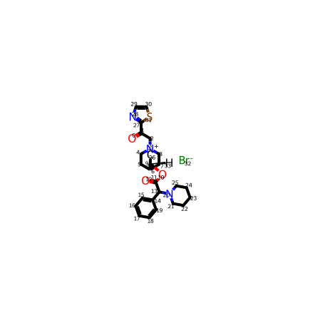 O=C(C[N+]12CCC(CC1)[C@@H](OC(=O)C(c1ccccc1)N1CCCCC1)C2)c1nccs1.[Br-]